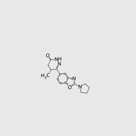 CC1CC(=O)NN=C1c1ccc2oc(N3CCCC3)nc2c1